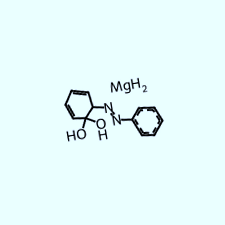 OC1(O)C=CC=CC1N=Nc1ccccc1.[MgH2]